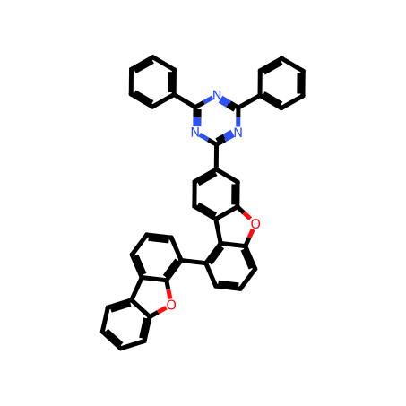 c1ccc(-c2nc(-c3ccccc3)nc(-c3ccc4c(c3)oc3cccc(-c5cccc6c5oc5ccccc56)c34)n2)cc1